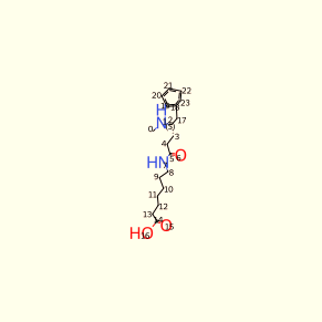 CN[C@@H](CCC(=O)NCCCCCCC(=O)O)Cc1ccccc1